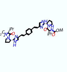 COC(=O)N[C@H](C(=O)N1CCC[C@H]1c1nc(/C=C/c2ccc(/C=C/c3c[nH]c([C@@H]4CCCN4C(=O)[C@H](C(C)C)N(C)C(=O)O)n3)cc2)c[nH]1)C(C)C